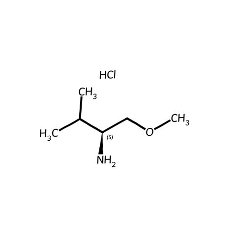 COC[C@@H](N)C(C)C.Cl